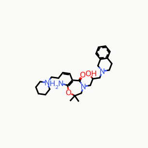 CC1(C)CN(CC(O)CN2CCc3ccccc3C2)C(=O)C(/C=C\CCN2CCCCC2)=C(N)O1